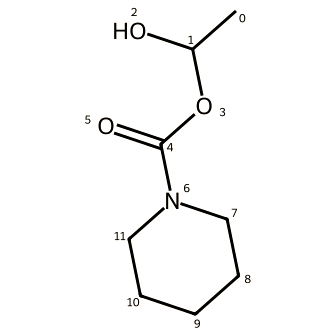 CC(O)OC(=O)N1CCCCC1